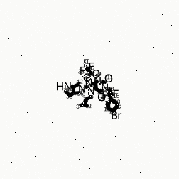 CC(C)=CCN1c2c(n(C)c(=O)n(CC(F)(F)c3ccc(Br)cc3)c2=O)N(OC(=O)C(F)(F)F)C1N1CC2CCNC2C1